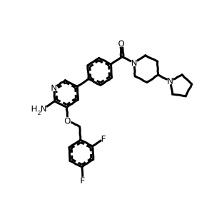 Nc1ncc(-c2ccc(C(=O)N3CCC(N4CCCC4)CC3)cc2)cc1OCc1ccc(F)cc1F